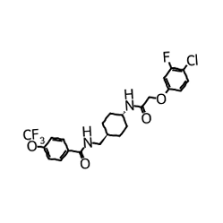 O=C(COc1ccc(Cl)c(F)c1)N[C@H]1CC[C@H](CNC(=O)c2ccc(OC(F)(F)F)cc2)CC1